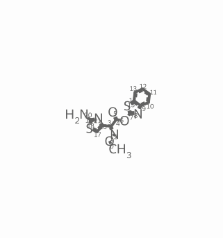 CON=C(C(=O)Oc1nc2ccccc2s1)c1csc(N)n1